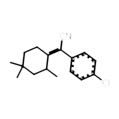 CC1CC(C)(C)CCC1=C(C#N)c1ccc(Cl)cc1